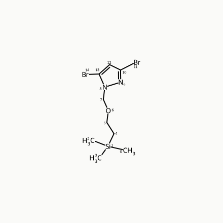 C[Si](C)(C)CCOCn1nc(Br)cc1Br